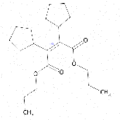 CCCOC(=O)/C(=C(\C(=O)OCCC)C1CCCC1)C1CCCC1